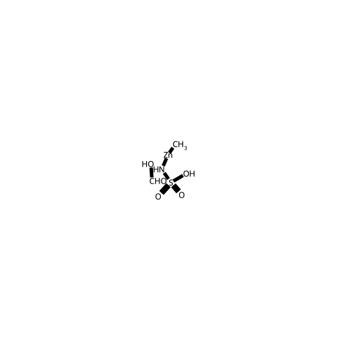 O=CO.[CH3][Zn][NH]S(=O)(=O)O